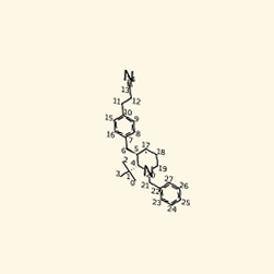 CC(C)(C)[C@@H]1[C@@H](Cc2ccc(CCC#N)cc2)[CH]CCN1Cc1ccccc1